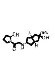 CCCCC1(O)C[C@H]2C[C@@H](NCC(=O)N3CCC[C@H]3C#N)C[C@H]2C1